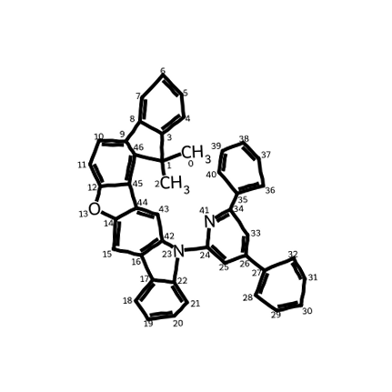 CC1(C)c2ccccc2-c2ccc3oc4cc5c6ccccc6n(-c6cc(-c7ccccc7)cc(-c7ccccc7)n6)c5cc4c3c21